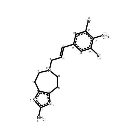 Nc1nc2c(s1)CCN(CC=Cc1cc(Br)c(N)c(Br)c1)CC2